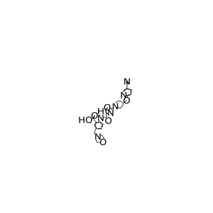 N#Cc1ccc(OC2CCN(c3nc(C(=O)Nc4ccc(CN5CCOCC5)cc4C(=O)O)co3)CC2)nc1